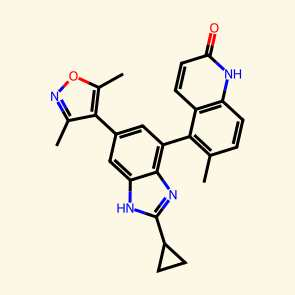 Cc1ccc2[nH]c(=O)ccc2c1-c1cc(-c2c(C)noc2C)cc2[nH]c(C3CC3)nc12